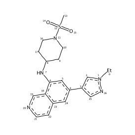 CCn1cc(-c2cc(NC3CCN(S(C)(=O)=O)CC3)c3cnccc3c2)cn1